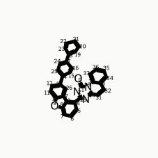 O=c1nc(-c2cccc3oc4ccc(-c5ccc(-c6ccccc6)cc5)cc4c23)nc2ccc3ccccc3n12